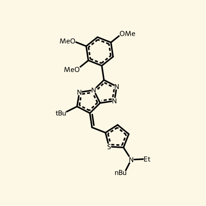 CCCCN(CC)c1ccc(/C=c2/c(C(C)(C)C)nn3c(-c4cc(OC)cc(OC)c4OC)nnc23)s1